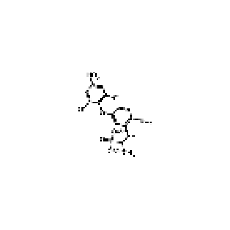 COP(=O)(OC)C(C)Nc1cc(Oc2c(Cl)cc([N+](=O)[O-])cc2Cl)ccc1[N+](=O)[O-]